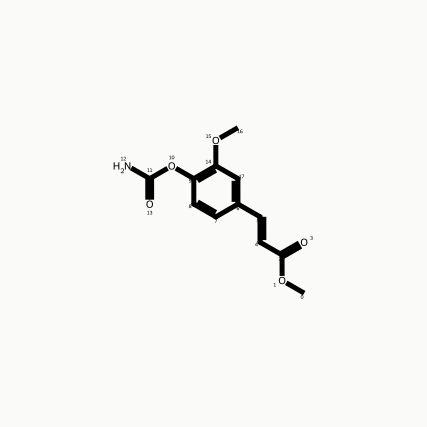 COC(=O)C=Cc1ccc(OC(N)=O)c(OC)c1